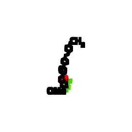 C=CC1CCC(CCC2CCC(C3CCC(C4CCc5cc(OC)c(F)c(F)c5O4)CC3)CC2)CC1